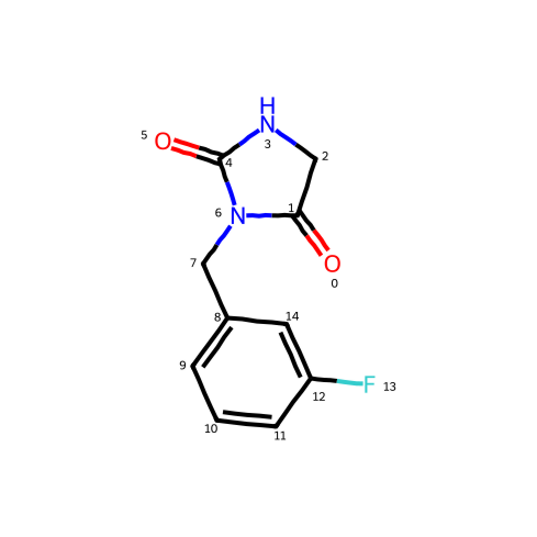 O=C1CNC(=O)N1Cc1cccc(F)c1